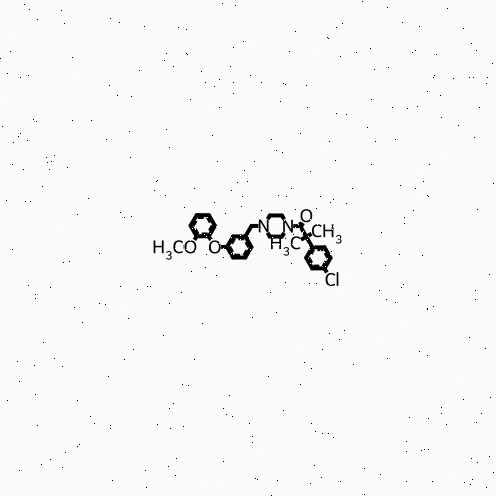 COc1ccccc1Oc1cccc(CN2CCN(C(=O)C(C)(C)c3ccc(Cl)cc3)CC2)c1